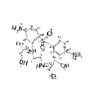 CC[C@@H](CO)NCCN[C@@H](CC)CO.Nc1ccc(S(=O)(=O)c2ccc(N)cc2)cc1